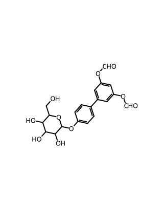 O=COc1cc(OC=O)cc(-c2ccc(OC3OC(CO)C(O)C(O)C3O)cc2)c1